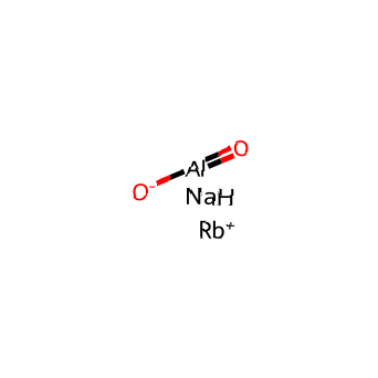 [NaH].[O]=[Al][O-].[Rb+]